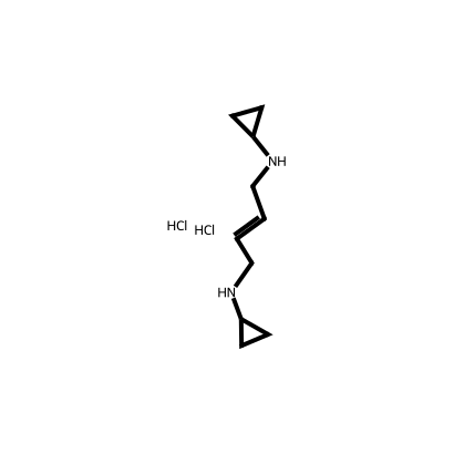 C(=CCNC1CC1)CNC1CC1.Cl.Cl